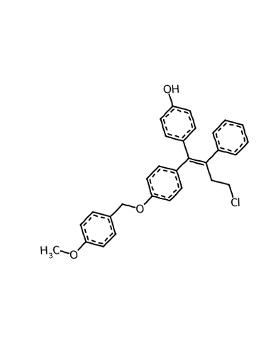 COc1ccc(COc2ccc(/C(=C(\CCCl)c3ccccc3)c3ccc(O)cc3)cc2)cc1